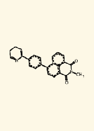 CN1C(=O)c2cccc3c(-c4ccc(C5=CCCC=N5)cc4)ccc(c23)C1=O